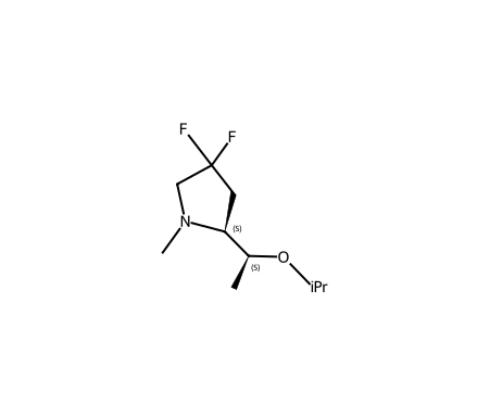 CC(C)O[C@@H](C)[C@@H]1CC(F)(F)CN1C